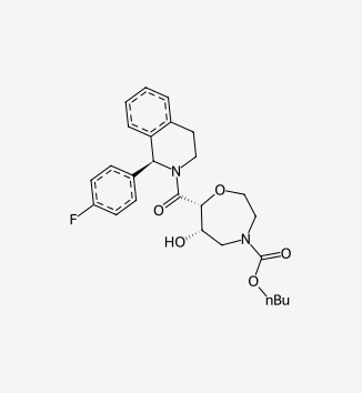 CCCCOC(=O)N1CCO[C@@H](C(=O)N2CCc3ccccc3[C@@H]2c2ccc(F)cc2)[C@@H](O)C1